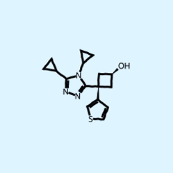 O[C@H]1C[C@](c2ccsc2)(c2nnc(C3CC3)n2C2CC2)C1